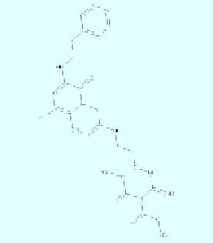 Cc1c(Cl)nc(NCCc2ccccc2)c(=O)n1CC(=O)NCCONC(=N)N(C(=O)OC(C)(C)C)C(=O)OC(C)(C)C